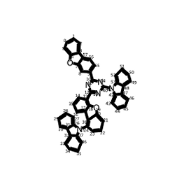 c1ccc2c(c1)oc1cc(-c3nc(-c4cccc5c4oc4cccc(-n6c7ccccc7c7ccccc76)c45)nc(-n4c5ccccc5c5ccccc54)n3)ccc12